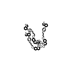 O=c1ccc2ccc(OCCCCN3CCN(c4cccc5sccc45)CC3)cc2n1COP(=O)(OCn1c(=O)ccc2ccc(OCCCCN3CCN(c4cccc5sccc45)CC3)cc21)OCn1c(=O)ccc2ccc(OCCCCN3CCN(c4cccc5sccc45)CC3)cc21